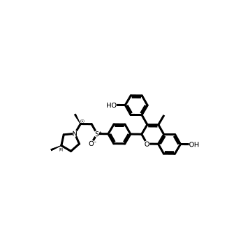 CC1=C(c2cccc(O)c2)C(c2ccc([S+]([O-])C[C@H](C)N3CC[C@@H](C)C3)cc2)Oc2ccc(O)cc21